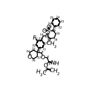 C=C(C)OC(=N)COCC1(c2ccc(CN3[C@@H](C)CC[C@H](c4ccccc4)S3(=O)=O)c(F)c2)CCOCC1